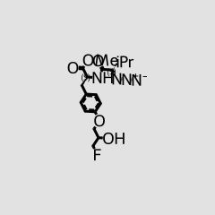 COC(=O)[C@H](Cc1ccc(OCC(O)CF)cc1)NC(=O)[C@@H](N=[N+]=[N-])C(C)C